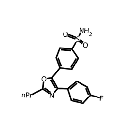 CCCc1nc(-c2ccc(F)cc2)c(-c2ccc(S(N)(=O)=O)cc2)o1